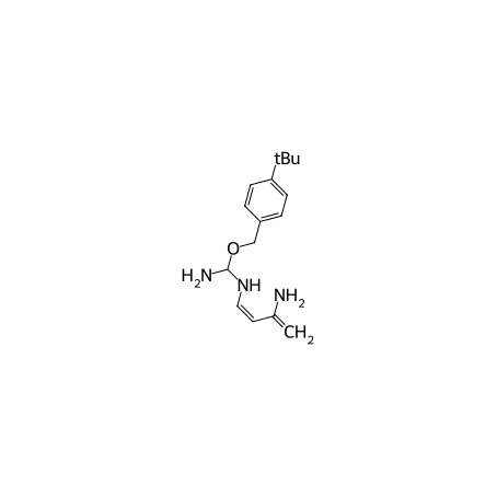 C=C(N)/C=C\NC(N)OCc1ccc(C(C)(C)C)cc1